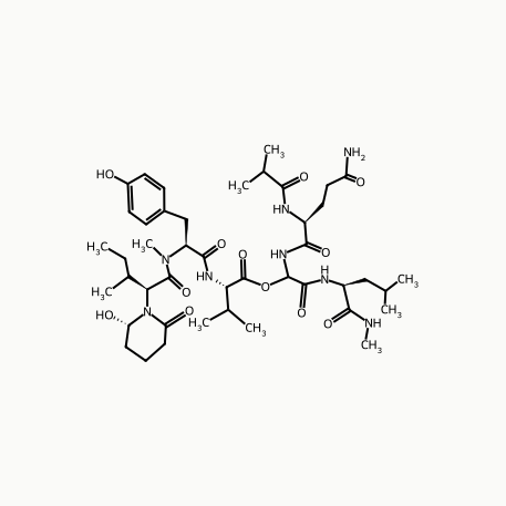 CCC(C)[C@@H](C(=O)N(C)[C@@H](Cc1ccc(O)cc1)C(=O)N[C@H](C(=O)OC(NC(=O)[C@H](CCC(N)=O)NC(=O)C(C)C)C(=O)N[C@@H](CC(C)C)C(=O)NC)C(C)C)N1C(=O)CCC[C@@H]1O